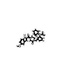 COc1ccc2[nH]c(C(=O)N3CC(=O)N(Cc4cccc(OC(F)F)c4)[C@@H](Cc4ccccc4)C3)cc2c1